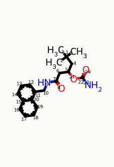 CC(C)(C)CC(CC(=O)NCc1cccc2ccccc12)OC(N)=O